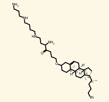 CC(C)CCC[C@@H](C)[C@H]1CC[C@H]2[C@@H]3CC=C4CC(OCCCC(=O)C(N)CCNCCCCNCCCN)CC[C@]4(C)[C@H]3CC[C@]12C